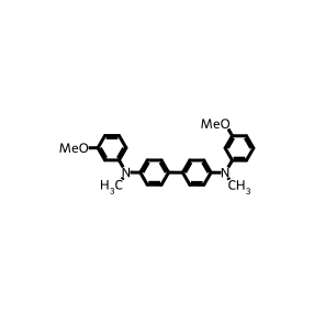 COc1cccc(N(C)c2ccc(-c3ccc(N(C)c4cccc(OC)c4)cc3)cc2)c1